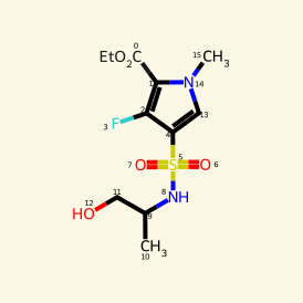 CCOC(=O)c1c(F)c(S(=O)(=O)NC(C)CO)cn1C